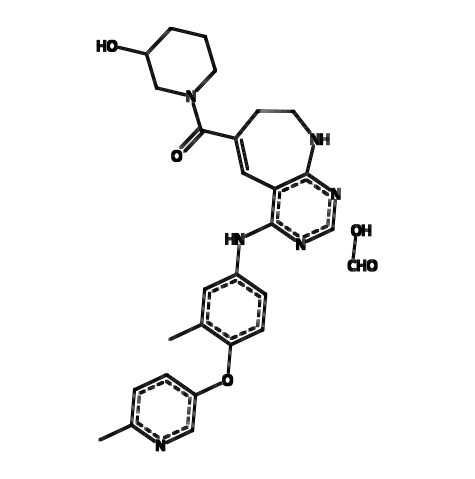 Cc1ccc(Oc2ccc(Nc3ncnc4c3C=C(C(=O)N3CCCC(O)C3)CCN4)cc2C)cn1.O=CO